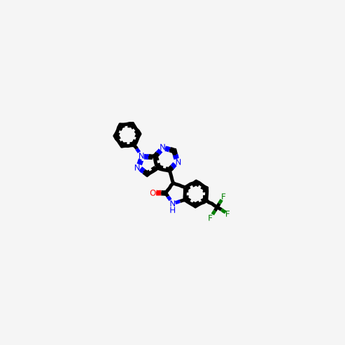 O=C1Nc2cc(C(F)(F)F)ccc2C1c1ncnc2c1cnn2-c1ccccc1